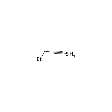 CCCC#C[SiH3]